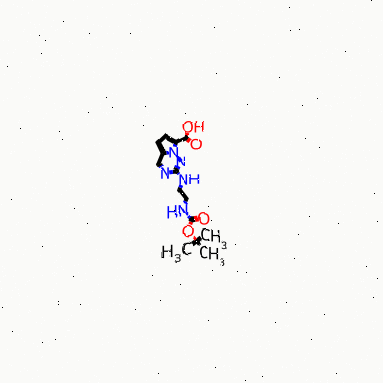 CC(C)(C)OC(=O)NCCNc1ncc2ccc(C(=O)O)n2n1